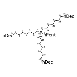 CCCCCCCCCCCCCCCCC[PH](CCCCC)(CCCCCCCCCCCCCCCCC)CCCCCCCCCCCCCCCCC